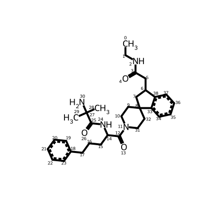 CCNC(=O)CC1CC2(CCN(C(=O)C(CCCc3ccccc3)NC(=O)C(C)(C)N)CC2)c2ccccc21